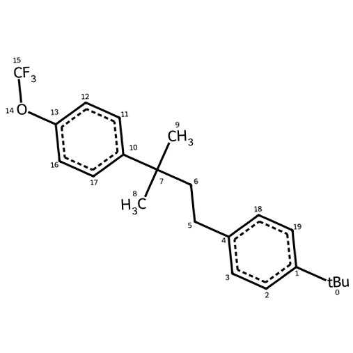 CC(C)(C)c1ccc(CCC(C)(C)c2ccc(OC(F)(F)F)cc2)cc1